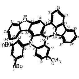 CCCCc1cc(CCCC)cc(N2c3ccc(C)cc3B3c4c(cc5oc6ccccc6c5c42)-c2cccc4c5ccccc5n3c24)c1